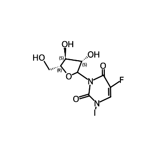 O=c1c(F)cn(I)c(=O)n1C1O[C@H](CO)[C@@H](O)[C@@H]1O